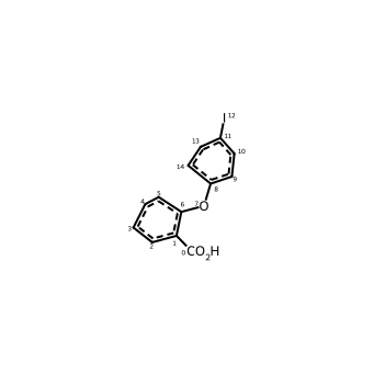 O=C(O)c1ccccc1Oc1ccc(I)cc1